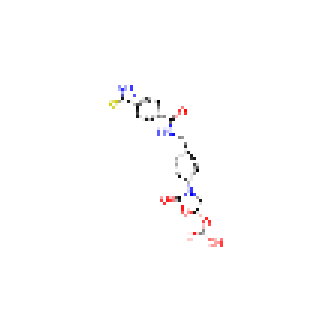 NC(=S)c1ccc(C(=O)NCc2ccc(N3CC(OC(=O)O)OC3=O)cc2)cc1